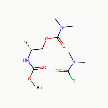 CN(C)C(=O)Cl.C[C@H](COC(=O)N(C)C)NC(=O)OC(C)(C)C